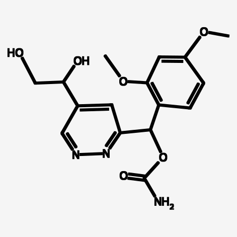 COc1ccc(C(OC(N)=O)c2cc(C(O)CO)cnn2)c(OC)c1